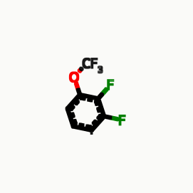 Fc1[c]ccc(OC(F)(F)F)c1F